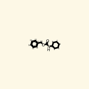 O=C(NC1CC[CH]CC1)OCc1ccccc1